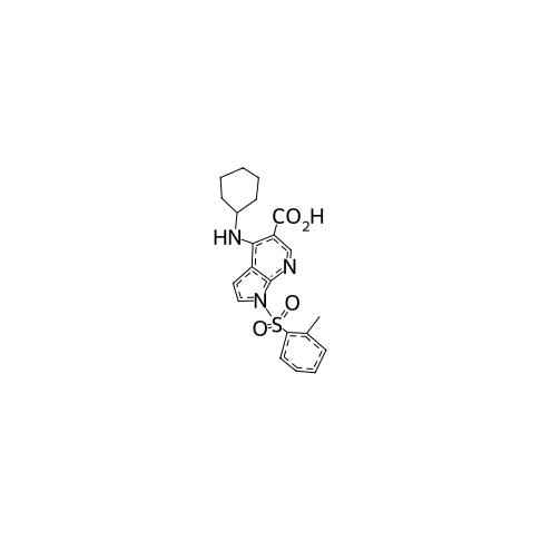 Cc1ccccc1S(=O)(=O)n1ccc2c(NC3CCCCC3)c(C(=O)O)cnc21